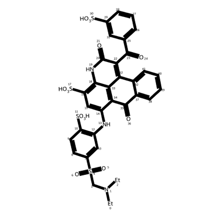 CCN(CC)CS(=O)(=O)c1ccc(S(=O)(=O)O)c(Nc2cc(S(=O)(=O)O)c3[nH]c(=O)c(C(=O)c4cccc(S(=O)(=O)O)c4)c4c3c2C(=O)c2ccccc2-4)c1